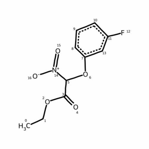 CCOC(=O)C(Oc1cccc(F)c1)[N+](=O)[O-]